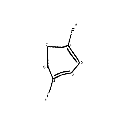 FC1=CC=C(I)CC1